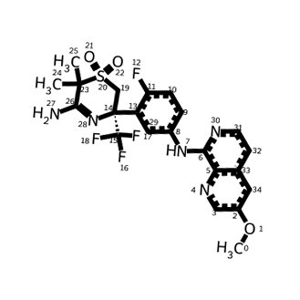 COc1cnc2c(Nc3ccc(F)c([C@]4(C(F)(F)F)CS(=O)(=O)C(C)(C)C(N)=N4)c3)nccc2c1